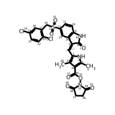 Cc1[nH]c(/C=C2\C(=O)Nc3ccc(S(=O)(=O)Cc4cc(Cl)ccc4Cl)cc32)c(C)c1C(=O)ON1C(=O)CCC1=O